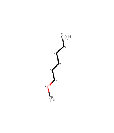 O=C(O)CCCCCOC(F)(F)F